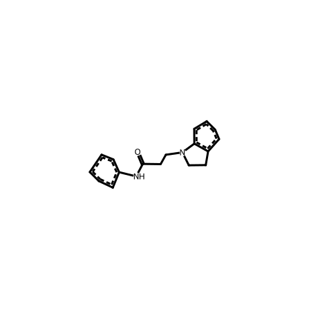 O=C(CCN1CCc2ccccc21)Nc1ccccc1